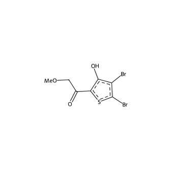 COCC(=O)c1sc(Br)c(Br)c1O